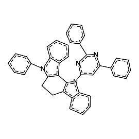 c1ccc(-c2cc(-n3c4c(c5ccccc53)CCc3c-4c4ccccc4n3-c3ccccc3)nc(-c3ccccc3)n2)cc1